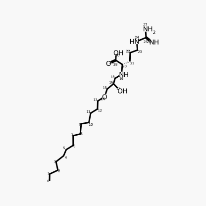 CCCCCCCCCCCCCCOCC(O)CN[C@@H](CCCNC(=N)N)C(=O)O